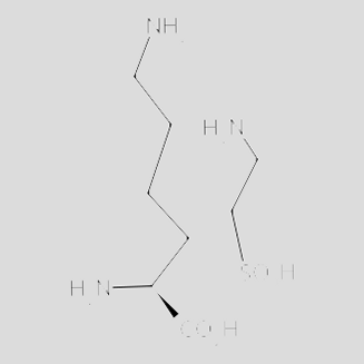 NCCCC[C@H](N)C(=O)O.NCCS(=O)(=O)O